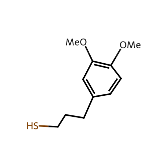 COc1ccc(CCCS)cc1OC